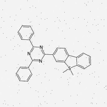 CS1(C)c2ccccc2-c2ccc(-c3nc(-c4ccccc4)nc(-c4ccccc4)n3)cc21